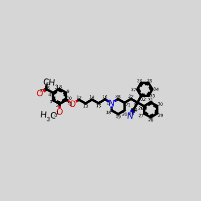 COc1cc(C(C)=O)ccc1OCCCCCN1CCCC(CC(C#N)(c2ccccc2)c2ccccc2)C1